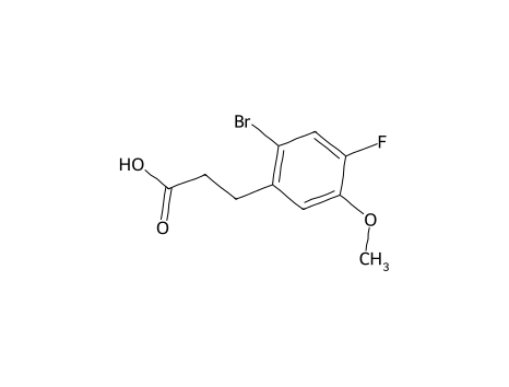 COc1cc(CCC(=O)O)c(Br)cc1F